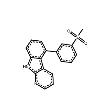 CS(=O)(=O)c1cccc(-c2cccc3[nH]c4ncccc4c23)c1